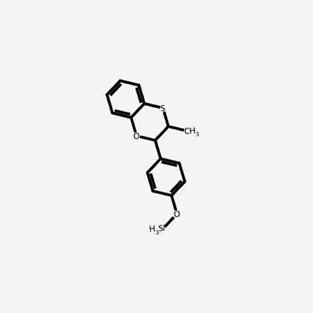 CC1Sc2ccccc2OC1c1ccc(O[SiH3])cc1